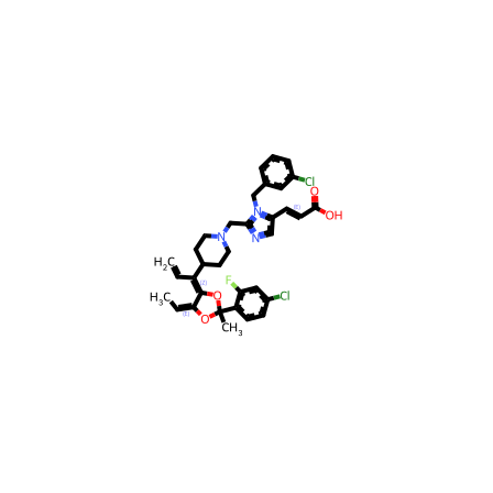 C=C/C(=C1/OC(C)(c2ccc(Cl)cc2F)O/C1=C/C)C1CCN(Cc2ncc(/C=C/C(=O)O)n2Cc2cccc(Cl)c2)CC1